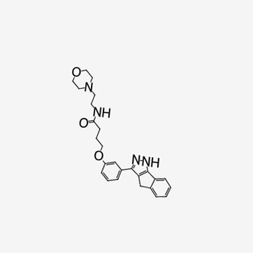 O=C(CCCOc1cccc(-c2n[nH]c3c2Cc2ccccc2-3)c1)NCCN1CCOCC1